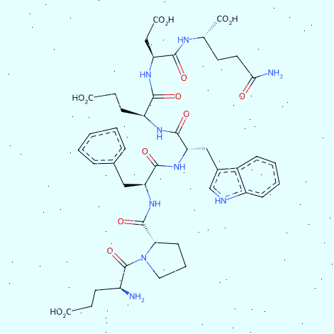 NC(=O)CC[C@H](NC(=O)[C@H](CC(=O)O)NC(=O)[C@H](CCC(=O)O)NC(=O)[C@H](Cc1c[nH]c2ccccc12)NC(=O)[C@H](Cc1ccccc1)NC(=O)[C@@H]1CCCN1C(=O)[C@@H](N)CCC(=O)O)C(=O)O